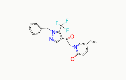 C=Cc1ccc(=O)n(CC(=O)c2cnn(Cc3ccccc3)c2C(F)(F)F)c1